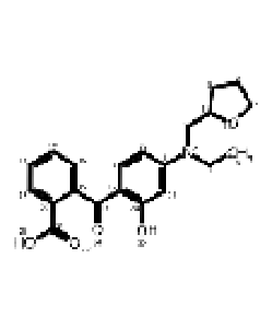 CCN(CC1CCCO1)c1ccc(C(=O)c2ccccc2C(=O)O)c(O)c1